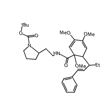 CCC(/C=C/c1ccccc1)C1C=C(OC)C(OC)=CC1(OC)C(=O)NCCC1CCCN1C(=O)OC(C)(C)C